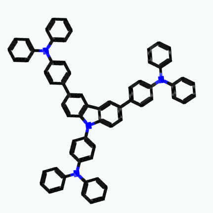 c1ccc(N(c2ccccc2)c2ccc(-c3ccc4c(c3)c3cc(-c5ccc(N(c6ccccc6)c6ccccc6)cc5)ccc3n4-c3ccc(N(c4ccccc4)c4ccccc4)cc3)cc2)cc1